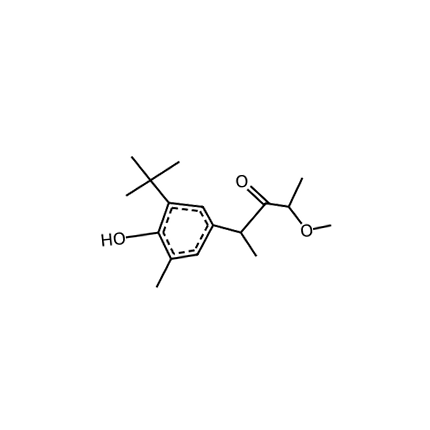 COC(C)C(=O)C(C)c1cc(C)c(O)c(C(C)(C)C)c1